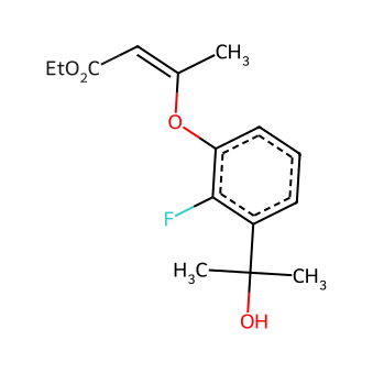 CCOC(=O)/C=C(/C)Oc1cccc(C(C)(C)O)c1F